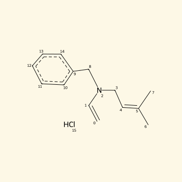 C=CN(CC=C(C)C)Cc1ccccc1.Cl